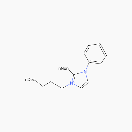 CCCCCCCCCCCCC[n+]1ccn(-c2ccccc2)c1CCCCCCCCC